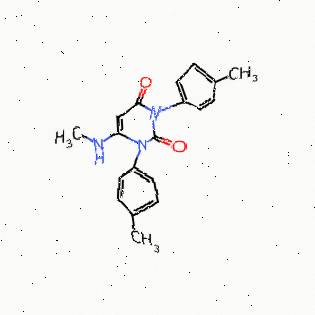 CNc1cc(=O)n(-c2ccc(C)cc2)c(=O)n1-c1ccc(C)cc1